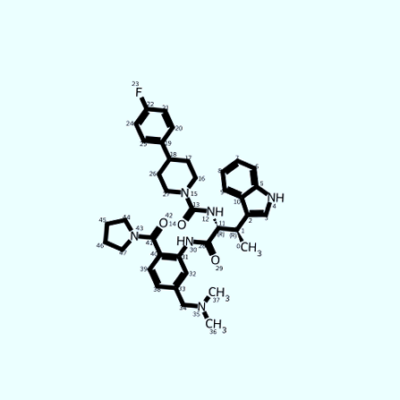 C[C@H](c1c[nH]c2ccccc12)[C@@H](NC(=O)N1CCC(c2ccc(F)cc2)CC1)C(=O)Nc1cc(CN(C)C)ccc1C(=O)N1CCCC1